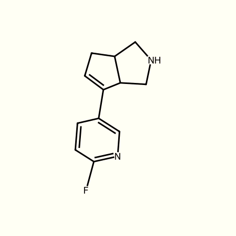 Fc1ccc(C2=CCC3CNCC23)cn1